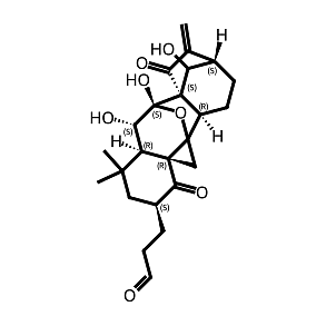 C=C1C(=O)[C@]23C(O)[C@H]1CC[C@H]2C12C[C@]14C(=O)[C@@H](CCC=O)CC(C)(C)[C@H]4[C@H](O)[C@@]3(O)O2